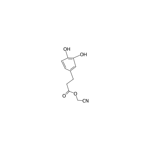 N#CCOC(=O)CCc1ccc(O)c(O)c1